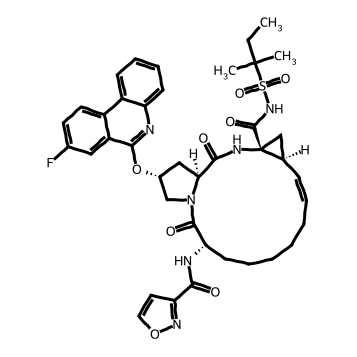 CCC(C)(C)S(=O)(=O)NC(=O)[C@@]12C[C@H]1/C=C\CCCCC[C@H](NC(=O)c1ccon1)C(=O)N1C[C@H](Oc3nc4ccccc4c4ccc(F)cc34)C[C@H]1C(=O)N2